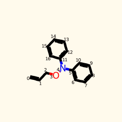 C=CCON(c1ccccc1)c1ccccc1